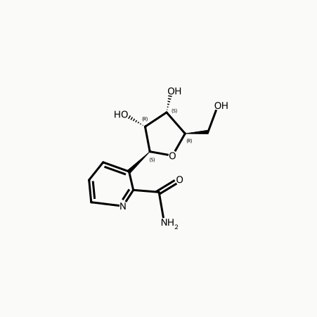 NC(=O)c1ncccc1[C@@H]1O[C@H](CO)[C@@H](O)[C@H]1O